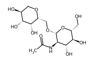 CC(=O)N[C@H]1[C@H](OC[C@H]2O[CH][C@H](O)[C@@H](O)[C@H]2O)O[C@H](CO)[C@@H](O)[C@@H]1O